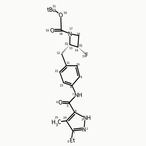 CCc1n[nH]c(C(=O)Nc2ccc(C[C@H]3[C@@H](F)CN3C(=O)OC(C)(C)C)cc2)c1C